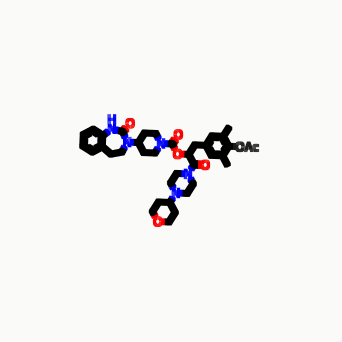 CC(=O)Oc1c(C)cc(CC(OC(=O)N2CCC(N3CCc4ccccc4NC3=O)CC2)C(=O)N2CCN(C3CCOCC3)CC2)cc1C